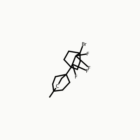 CC12CCC(C34CCC(Br)(CC3)C(F)(F)C4(F)F)(CC1)CC2